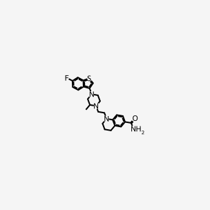 CC1CN(c2csc3cc(F)ccc23)CCN1CCN1CCCc2cc(C(N)=O)ccc21